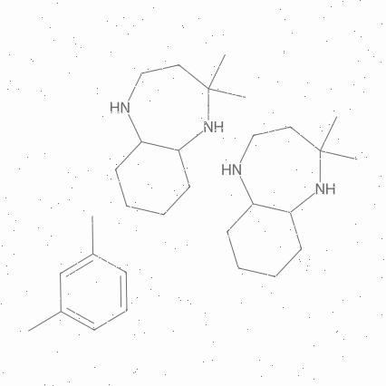 CC1(C)CCNC2CCCCC2N1.CC1(C)CCNC2CCCCC2N1.Cc1cccc(C)c1